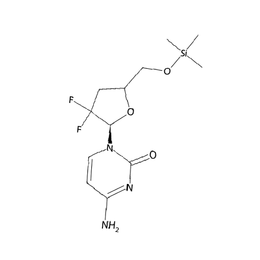 C[Si](C)(C)OCC1CC(F)(F)[C@H](n2ccc(N)nc2=O)O1